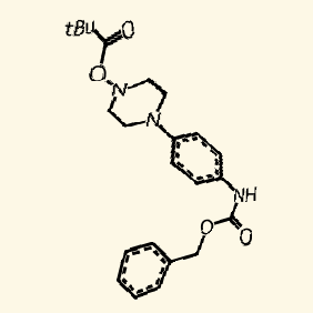 CC(C)(C)C(=O)ON1CCN(c2ccc(NC(=O)OCc3ccccc3)cc2)CC1